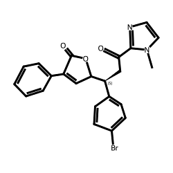 Cn1ccnc1C(=O)C[C@@H](c1ccc(Br)cc1)C1C=C(c2ccccc2)C(=O)O1